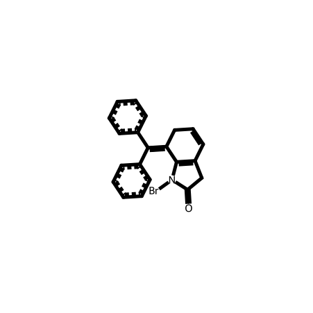 O=C1CC2=C(C(=C(c3ccccc3)c3ccccc3)CC=C2)N1Br